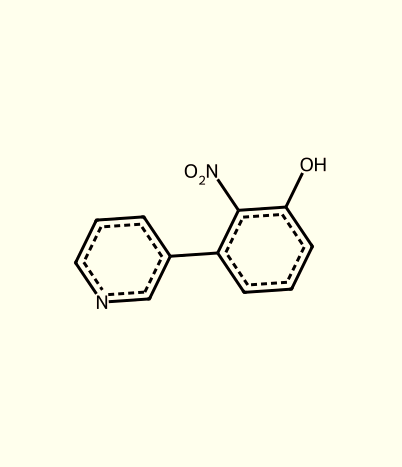 O=[N+]([O-])c1c(O)cccc1-c1cccnc1